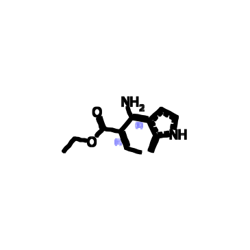 C=c1[nH]cc/c1=C(N)/C(=C\C)C(=O)OCC